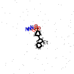 CCC(CC(C)c1ccc(S(=O)(=O)ON=[N+]=[N-])cc1)c1ccccc1